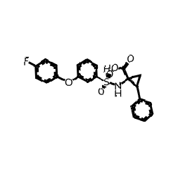 O=C(O)C1(NS(=O)(=O)c2cccc(Oc3ccc(F)cc3)c2)CC1c1ccccc1